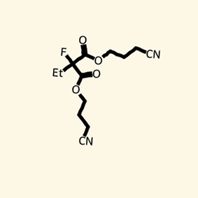 CCC(F)(C(=O)OCCCC#N)C(=O)OCCCC#N